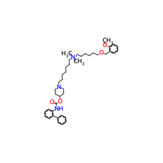 COc1ccccc1COCCCCCC[N+](C)(C)CCCCCCCN1CCC(OC(=O)Nc2ccccc2-c2ccccc2)CC1